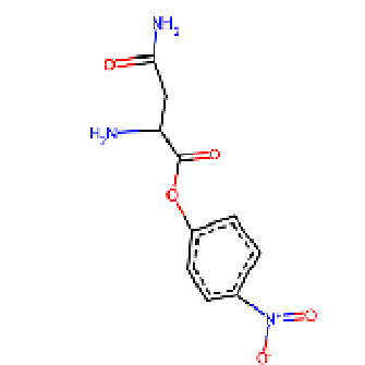 NC(=O)CC(N)C(=O)Oc1ccc([N+](=O)[O-])cc1